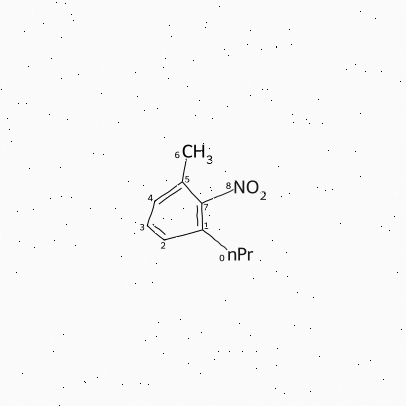 CCCc1cccc(C)c1[N+](=O)[O-]